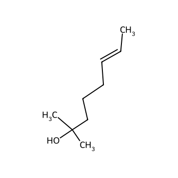 CC=CCCCC(C)(C)O